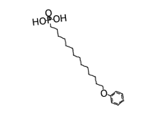 O=P(O)(O)CCCCCCCCCCCCCCOc1ccccc1